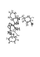 NC(=O)C(Cc1ccccc1)NC(=O)c1nn(Cc2ccc(F)cc2)c2ccccc12